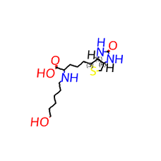 O=C1N[C@H]2[C@H](CS[C@H]2CCCC(NCCCCCCO)C(=O)O)N1